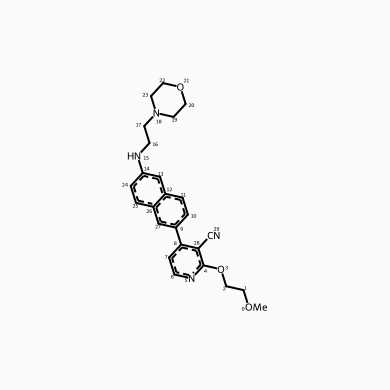 COCCOc1nccc(-c2ccc3cc(NCCN4CCOCC4)ccc3c2)c1C#N